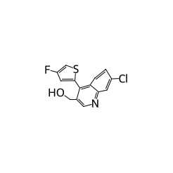 OCc1cnc2cc(Cl)ccc2c1-c1cc(F)cs1